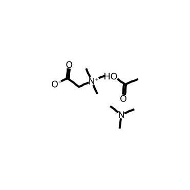 CC(=O)O.CN(C)C.C[N+](C)(C)CC(=O)[O-]